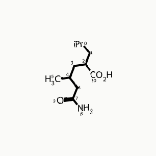 CC(C)CC(CC(C)CC(N)=O)C(=O)O